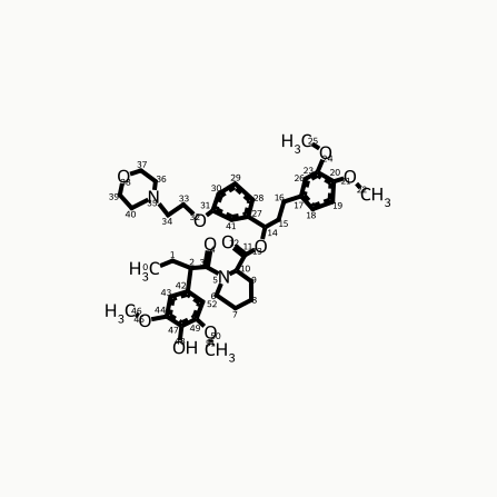 CCC(C(=O)N1CCCCC1C(=O)OC(CCc1ccc(OC)c(OC)c1)c1cccc(OCCN2CCOCC2)c1)c1cc(OC)c(O)c(OC)c1